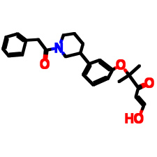 CC(C)(Oc1cccc(C2CCCN(C(=O)Cc3ccccc3)C2)c1)C(=O)/C=C/O